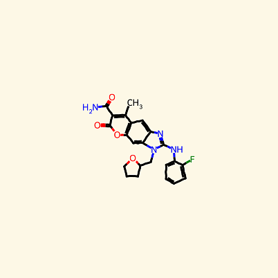 Cc1c(C(N)=O)c(=O)oc2cc3c(cc12)nc(Nc1ccccc1F)n3CC1CCCO1